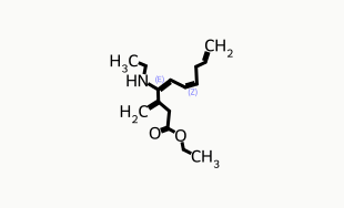 C=CC/C=C\C=C(\NCC)C(=C)CC(=O)OCC